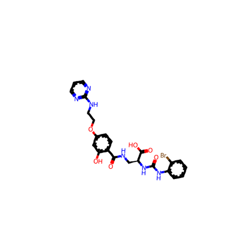 O=C(Nc1ccccc1Br)N[C@@H](CNC(=O)c1ccc(OCCNc2ncccn2)cc1O)C(=O)O